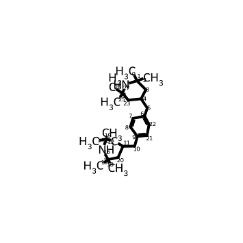 CC1(C)CC(Cc2ccc(CC3CC(C)(C)NC(C)(C)C3)cc2)CC(C)(C)N1